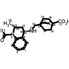 CCC(=O)N1c2ccccc2[C@H](NCC23CCC(C(=O)O)(CC2)CC3)C[C@@H]1C